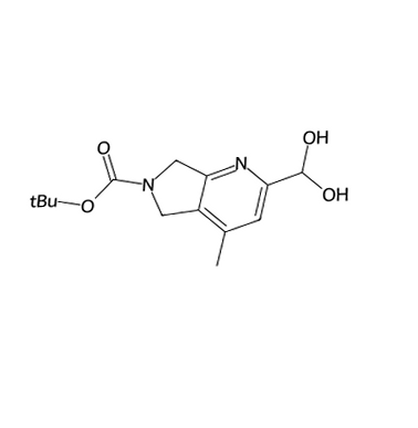 Cc1cc(C(O)O)nc2c1CN(C(=O)OC(C)(C)C)C2